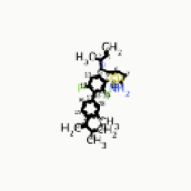 C=C/C(C)=C\C1=C2CC[SH]12(N)c1ccc(F)c(-c2ccc(C(=C)C(=C)C)c(C)c2)c1F